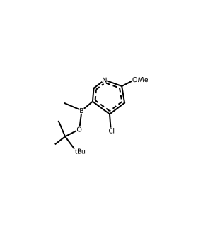 COc1cc(Cl)c(B(C)OC(C)(C)C(C)(C)C)cn1